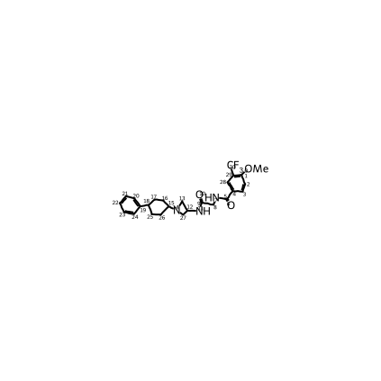 COc1ccc(C(=O)NCC(=O)NC2CN(C3CCC(c4ccccc4)CC3)C2)cc1C(F)(F)F